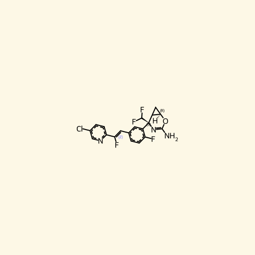 NC1=N[C@@](c2cc(/C=C(\F)c3ccc(Cl)cn3)ccc2F)(C(F)F)C2C[C@H]2O1